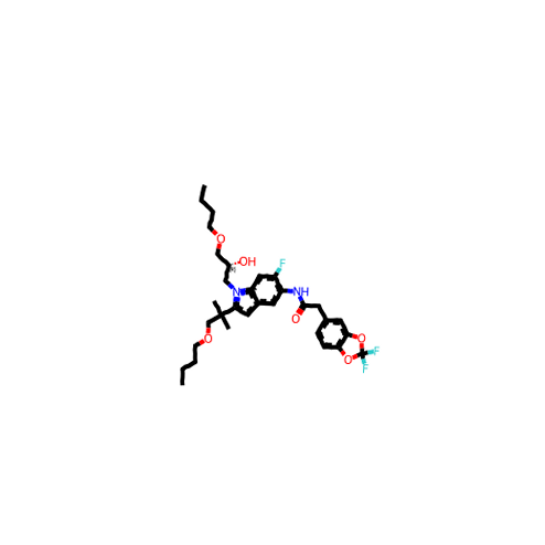 CCCCOC[C@H](O)Cn1c(C(C)(C)COCCCC)cc2cc(NC(=O)Cc3ccc4c(c3)OC(F)(F)O4)c(F)cc21